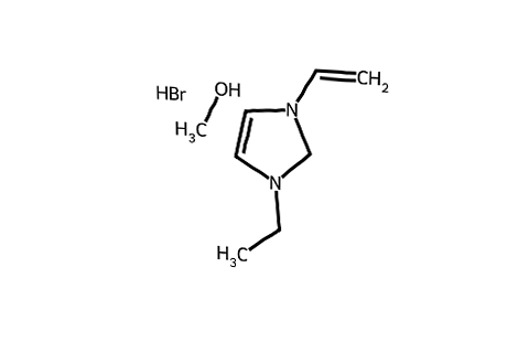 Br.C=CN1C=CN(CC)C1.CO